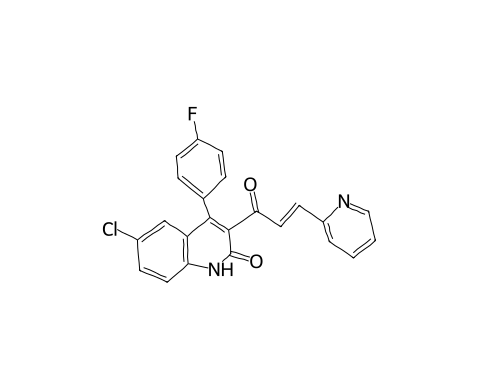 O=C(/C=C/c1ccccn1)c1c(-c2ccc(F)cc2)c2cc(Cl)ccc2[nH]c1=O